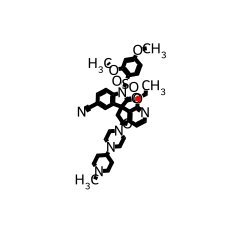 CCOc1ncccc1C1(CC(=O)N2CCN(C3CCN(C)CC3)CC2)C(=O)N(S(=O)(=O)c2ccc(OC)cc2OC)c2ccc(C#N)cc21